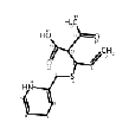 C=CC(SCC1=CCC=CN1)C(C(C)=O)C(=O)O